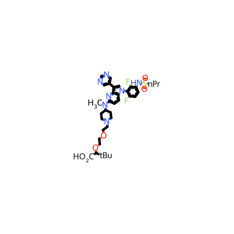 CCCS(=O)(=O)Nc1ccc(F)c(-n2cc(-c3cncnc3)c3nc(N(C)C4CCN(CCOCCOC(C(=O)O)C(C)(C)C)CC4)ccc32)c1F